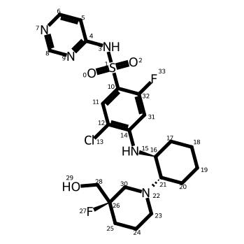 O=S(=O)(Nc1ccncn1)c1cc(Cl)c(N[C@H]2CCCC[C@@H]2N2CCC[C@](F)(CO)C2)cc1F